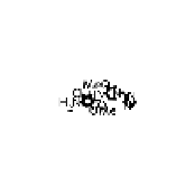 COc1cc(N)c(Cl)cc1C(=O)NC1CCN(Cc2cnccn2)CC1OC